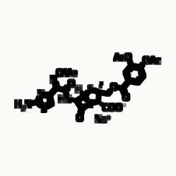 CO/N=C(\C(=O)N[C@@H]1C(=O)N2[C@@H]1S[C@@](C)(COC(=O)c1ccc(OC(C)=O)c(OC(C)=O)c1)[C@@H]2C(=O)[O-])c1csc(N)n1.[Na+]